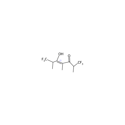 C/C(C(=O)C(C)C(F)(F)F)=C(/O)C(C)C(F)(F)F